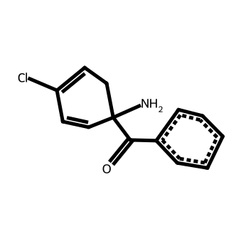 NC1(C(=O)c2ccccc2)C=CC(Cl)=CC1